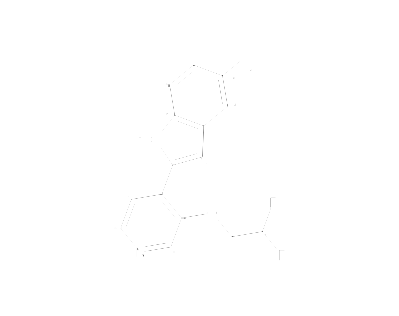 FC(F)COc1cnccc1-c1cc2cc(C(F)(F)F)ccc2o1